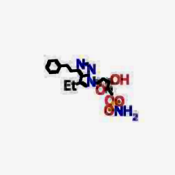 CCc1cn([C@H]2C[C@H](O)[C@@H](COS(N)(=O)=O)O2)c2ncnc(CCc3ccccc3)c12